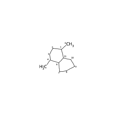 CC1CCC(C)C2CCCCC12